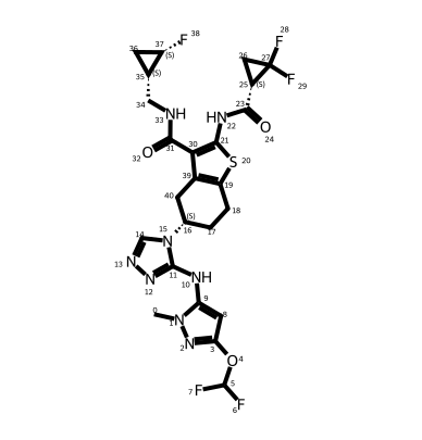 Cn1nc(OC(F)F)cc1Nc1nncn1[C@H]1CCc2sc(NC(=O)[C@@H]3CC3(F)F)c(C(=O)NC[C@@H]3C[C@@H]3F)c2C1